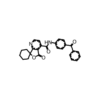 O=C(c1ccccc1)c1ccc(NC(=O)c2ccnc3c2C(=O)OC32CCCCC2)cc1